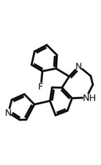 Fc1ccccc1C1=NCCNc2ccc(-c3ccncc3)cc21